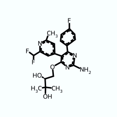 Cc1cc(-c2c(OC[C@H](O)C(C)(C)O)nc(N)nc2-c2ccc(F)cc2)cc(C(F)F)n1